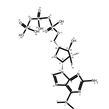 CN(C)c1nc(N)nc2c1ncn2[C@@H]1O[C@H](COP(=O)(O)OP(=O)(O)OP(=O)(O)O)[C@@H](O)[C@@]1(C)F